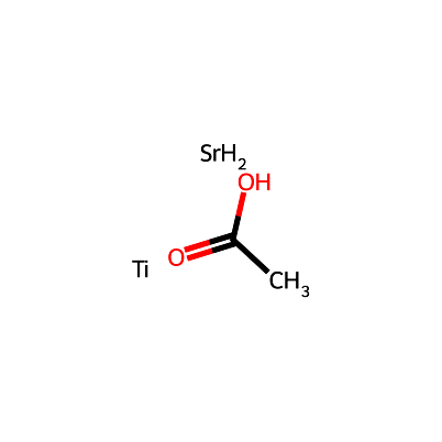 CC(=O)O.[SrH2].[Ti]